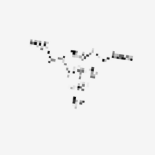 CCCCCCCCCCCC1=NC(CC(=O)O)C[N+]1(O)CC.[Na].[OH-]